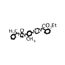 CCOC(=O)C(c1ccccc1)N1CCN(c2ccc(-n3ccn([C@H](C)c4ccccc4)c3=O)c(C)c2)CC1